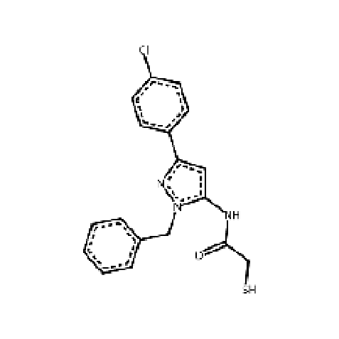 O=C(CS)Nc1cc(-c2ccc(Cl)cc2)nn1Cc1ccccc1